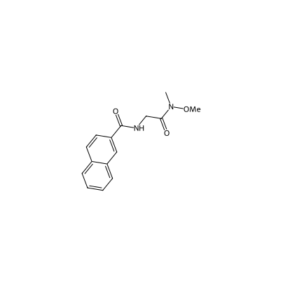 CON(C)C(=O)CNC(=O)c1ccc2ccccc2c1